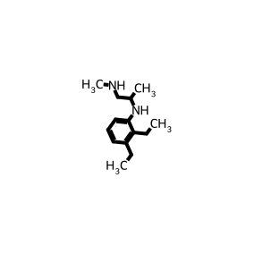 CCc1cccc(NC(C)CNC)c1CC